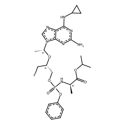 CC(C)OC(=O)[C@@H](C)NP(=O)(OC[C@H](CF)O[C@H](C)n1cnc2c(NC3CC3)nc(N)nc21)Oc1ccccc1